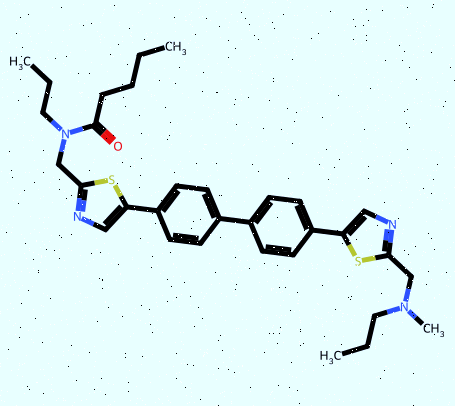 CCCCC(=O)N(CCC)Cc1ncc(-c2ccc(-c3ccc(-c4cnc(CN(C)CCC)s4)cc3)cc2)s1